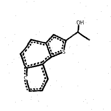 CC(O)c1cc2ccc3ccccc3c2s1